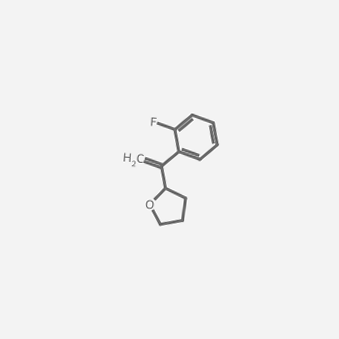 C=C(c1ccccc1F)C1CCCO1